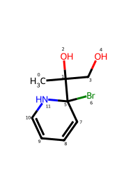 CC(O)(CO)C1(Br)C=CC=CN1